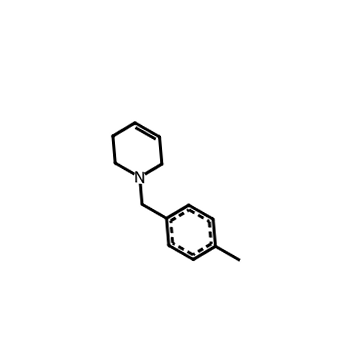 Cc1ccc(CN2CC=CCC2)cc1